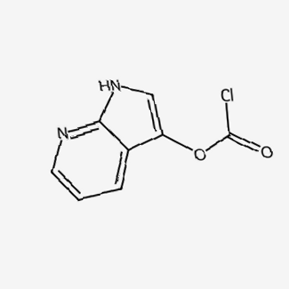 O=C(Cl)Oc1c[nH]c2ncccc12